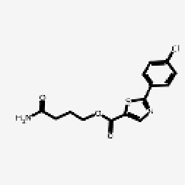 NC(=O)CCCOC(=O)c1cnc(-c2ccc(Cl)cc2)s1